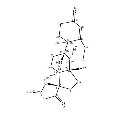 CC(=O)[C@@]1(OC=O)CC[C@H]2[C@@H]3CCC4=CC(=O)CC[C@]4(C)[C@@]3(O)CC[C@@]21C